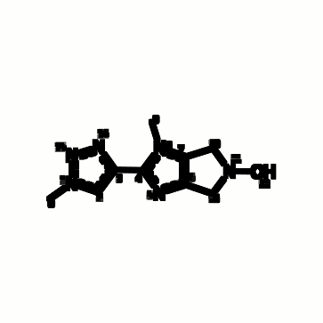 Cn1cc(-c2nc3c(n2C)CN(O)C3)nn1